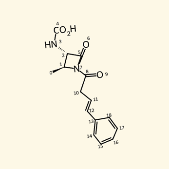 C[C@H]1[C@H](NC(=O)O)C(=O)N1C(=O)CC=Cc1ccccc1